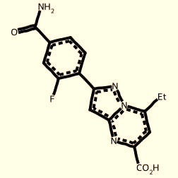 CCc1cc(C(=O)O)nc2cc(-c3ccc(C(N)=O)cc3F)nn12